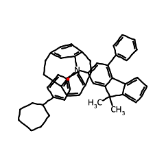 CC1(C)c2ccccc2-c2c(-c3ccccc3)cc(N(c3ccc(C4CCCCCC4)cc3)c3cc4ccc3CCc3ccc(cc3)CC4)cc21